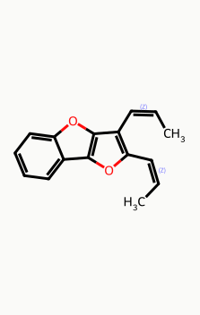 C/C=C\c1oc2c(oc3ccccc32)c1/C=C\C